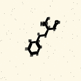 CN[C@@H]([C]=O)CCc1ccccc1